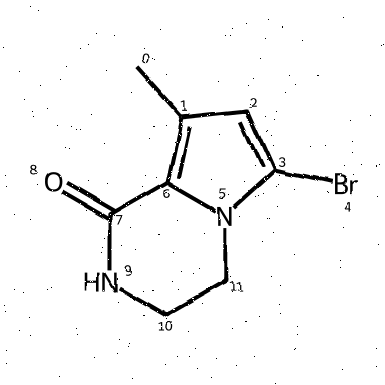 Cc1cc(Br)n2c1C(=O)NCC2